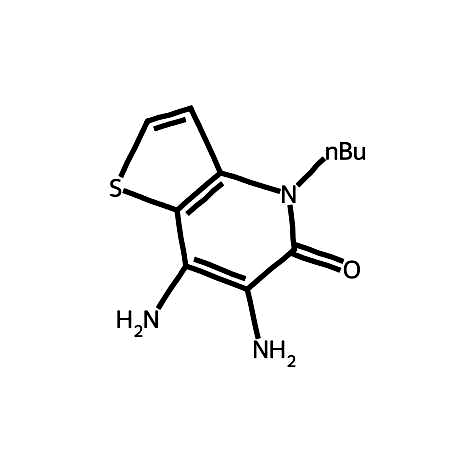 CCCCn1c(=O)c(N)c(N)c2sccc21